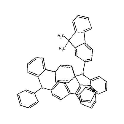 CC1(C)c2ccccc2-c2ccc(N(c3ccccc3)C3(c4ccccc4)C=CC(c4ccccc4N(c4ccccc4)c4ccc(-c5ccccc5)cc4)C=C3)cc21